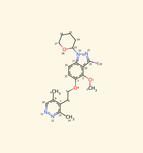 COc1c(OCCc2c(C)cnnc2C)ccc2c1c(I)nn2C1CCCCO1